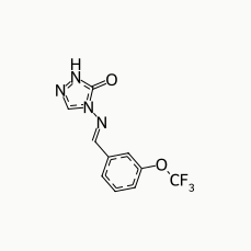 O=c1[nH]ncn1N=Cc1cccc(OC(F)(F)F)c1